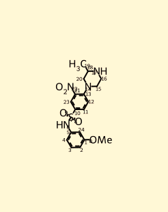 COc1cccc(NS(=O)(=O)c2ccc(N3CCNC(C)C3)c([N+](=O)[O-])c2)c1